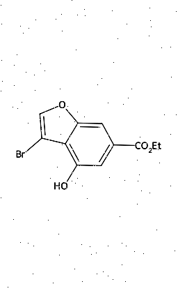 CCOC(=O)c1cc(O)c2c(Br)coc2c1